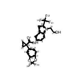 O=C(Nc1ccc2c(c1)cc(C(F)(F)F)n2CCO)C1(c2ccc3c(c2)OC(F)(F)O3)CC1